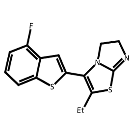 CCC1=C(c2cc3c(F)cccc3s2)N2CCN=C2S1